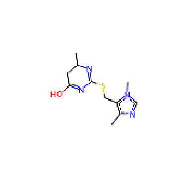 Cc1ncn(C)c1CSC1=NC(C)CC(O)=N1